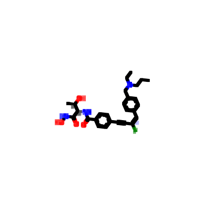 CCCN(CC)Cc1ccc(/C=C(/F)C#Cc2ccc(C(=O)N[C@H](C(=O)NO)[C@@H](C)O)cc2)cc1